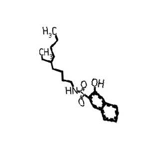 CCCCC(CC)CCCCNS(=O)(=O)c1cc2ccccc2cc1O